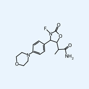 CC(C(N)=O)C1OC(=O)N(F)C1c1ccc(N2CCOCC2)cc1